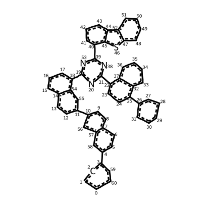 c1ccc(-c2ccc3ccc(-c4ccc5cccc(-c6nc(-c7ccc(-c8ccccc8)c8ccccc78)nc(-c7cccc8c7sc7ccccc78)n6)c5c4)cc3c2)cc1